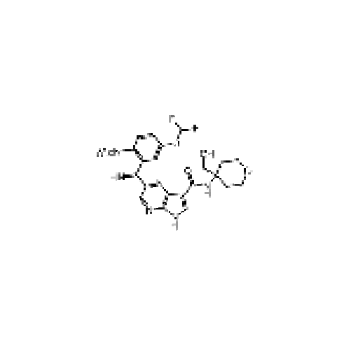 CNc1ccc(OC(F)F)cc1C(=N)c1cnc2[nH]cc(C(=O)NC3(CO)CCOCC3)c2n1